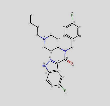 CCCCN1CCC(N(Cc2ccc(F)cc2)C(=O)c2n[nH]c3ccc(F)cc23)CC1